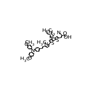 CCCC[Si]1(CCCC)c2cc(/C=C(\C#N)C(=O)O)sc2-c2sc(-c3ccc(/C=C/c4ccc(N(c5ccc(OC)cc5)c5ccc(OC)cc5)cc4)n3C)cc21